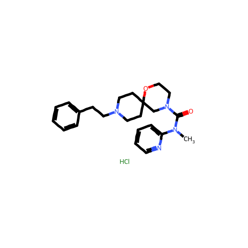 CN(C(=O)N1CCOC2(CCN(CCc3ccccc3)CC2)C1)c1ccccn1.Cl